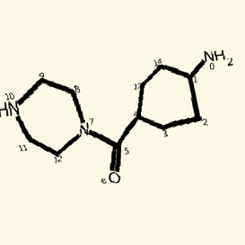 NC1CCC(C(=O)N2CCNCC2)CC1